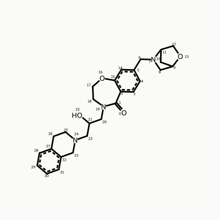 O=C1c2ccc(CN3CC4CC3CO4)cc2OCCN1CC(O)CN1CCc2ccccc2C1